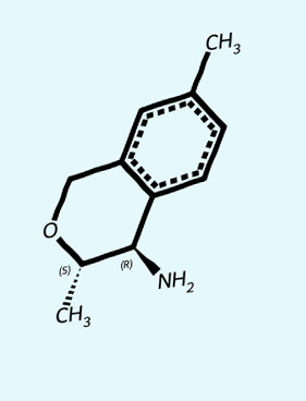 Cc1ccc2c(c1)CO[C@@H](C)[C@@H]2N